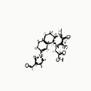 O=Cc1ccn(C2=CC3=C(CC2)CCc2[nH]c(=O)c(=O)n(CC(=O)O)c23)c1